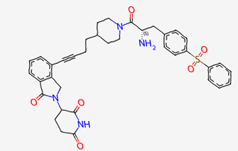 N[C@@H](Cc1ccc(S(=O)(=O)c2ccccc2)cc1)C(=O)N1CCC(CCC#Cc2cccc3c2CN(C2CCC(=O)NC2=O)C3=O)CC1